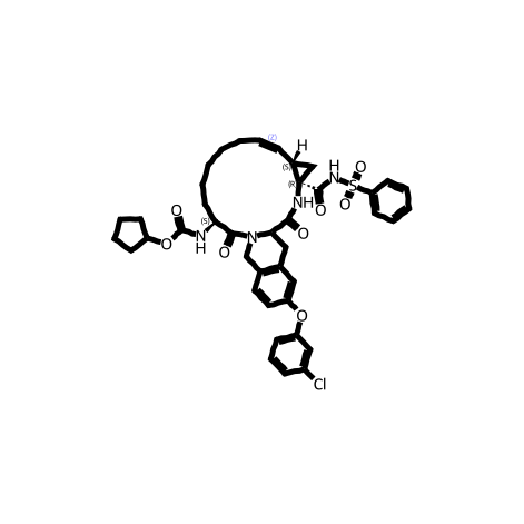 O=C(N[C@H]1CCCCC/C=C\[C@@H]2C[C@@]2(C(=O)NS(=O)(=O)c2ccccc2)NC(=O)C2Cc3cc(Oc4cccc(Cl)c4)ccc3CN2C1=O)OC1CCCC1